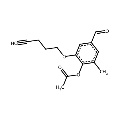 C#CCCCOc1cc(C=O)cc(C)c1OC(C)=O